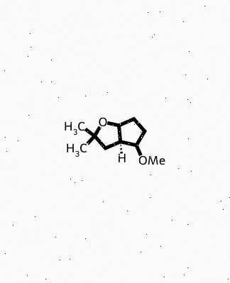 COC1CCC2OC(C)(C)C[C@H]12